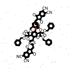 N#Cc1cc2c(cc1C#N)C(=O)C(=Cc1nc3c(s1)-c1cc4c(cc1C(C(=O)OCc1ccccc1)(C(=O)OCc1ccccc1)O3)-c1sc(C=C3C(=O)c5cc(C#N)c(C#N)cc5C3=O)nc1OC4(C(=O)OCc1ccccc1)C(=O)OCc1ccccc1)C2=O